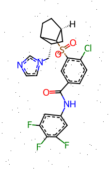 O=C(Nc1cc(F)c(F)c(F)c1)c1ccc(Cl)c(S(=O)(=O)C2C3CC[C@H]2C[C@@H]3Cn2ccnc2)c1